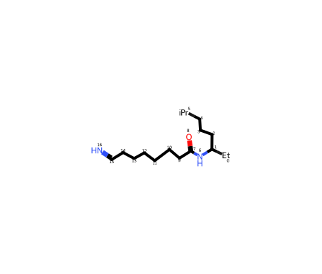 CCC(CCCC(C)C)NC(=O)CCCCCCC=N